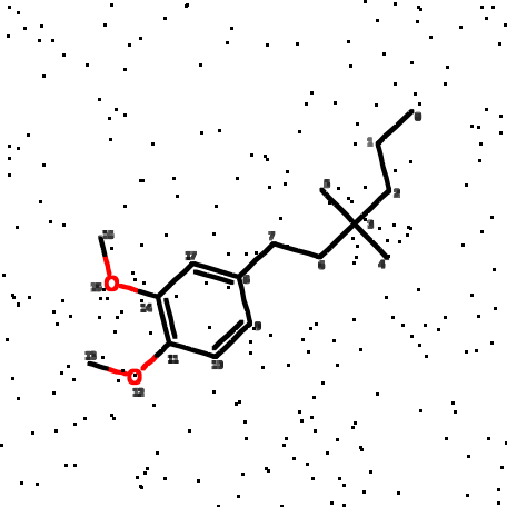 CCCC(C)(C)CCc1ccc(OC)c(OC)c1